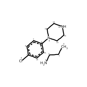 CCCN.Clc1ccc(N2CCNCC2)cc1